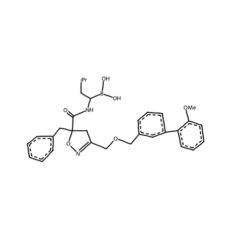 COc1ccccc1-c1cccc(COCC2=NOC(Cc3ccccc3)(C(=O)NC(CC(C)C)B(O)O)C2)c1